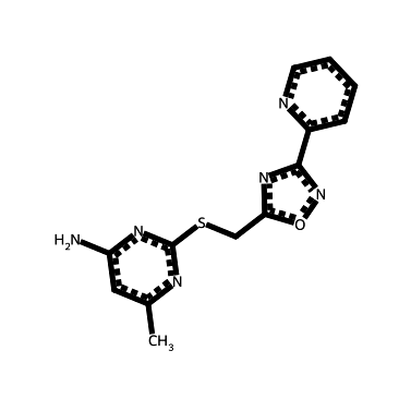 Cc1cc(N)nc(SCc2nc(-c3ccccn3)no2)n1